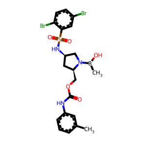 CB(O)N1C[C@H](NS(=O)(=O)c2cc(Br)ccc2Br)C[C@@H]1COC(=O)Nc1cccc(C)c1